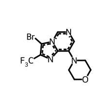 FC(F)(F)c1nc2c(N3CCOCC3)cncn2c1Br